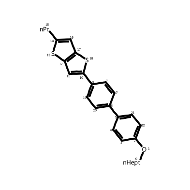 CCCCCCCOc1ccc(-c2ccc(-c3cc4sc(CCC)cc4s3)cc2)cc1